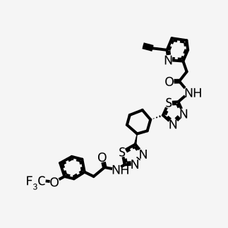 C#Cc1cccc(CC(=O)Nc2nnc([C@H]3CCC[C@H](c4nnc(NC(=O)Cc5cccc(OC(F)(F)F)c5)s4)C3)s2)n1